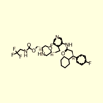 O=C(C[C@@H](c1ccc(F)cc1)C1CCCCC1)Nc1cncc(F)c1CC[C@@H]1CN[C@H](COC(=O)NCC(F)(F)F)CO1